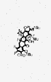 CCCCOc1noc2c1C(=O)[C@@]1(O[Si](C)(C)C(C)(C)C)C(O)=C3C(=O)c4c(c(F)c(F)c(C=O)c4OCCCC)C[C@H]3C[C@H]1C2N(C)C